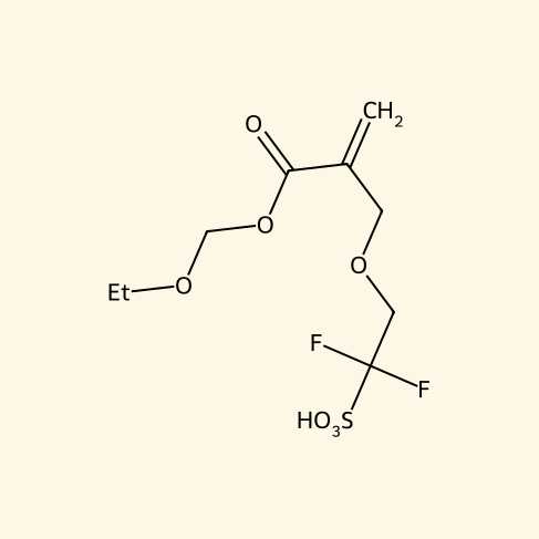 C=C(COCC(F)(F)S(=O)(=O)O)C(=O)OCOCC